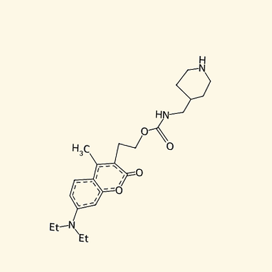 CCN(CC)c1ccc2c(C)c(CCOC(=O)NCC3CCNCC3)c(=O)oc2c1